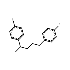 CC(CCCc1ccc(F)cc1)c1ccc(F)cc1